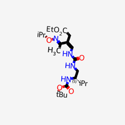 CCOC(=O)CC(=CNC(=O)NC[C@@H](NC(=O)OC(C)(C)C)C(C)C)C(C)=NOC(C)C